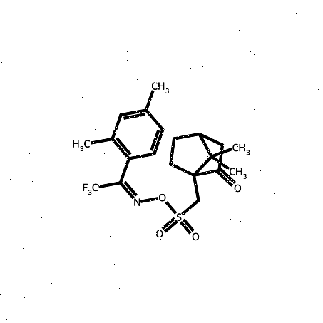 Cc1ccc(C(=NOS(=O)(=O)CC23CCC(CC2=O)C3(C)C)C(F)(F)F)c(C)c1